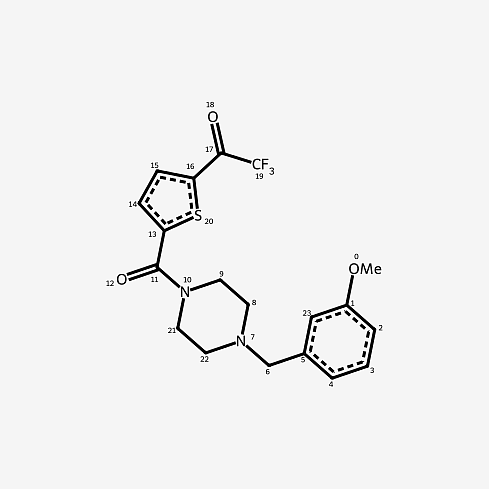 COc1cccc(CN2CCN(C(=O)c3ccc(C(=O)C(F)(F)F)s3)CC2)c1